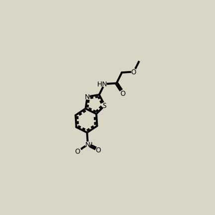 COCC(=O)Nc1nc2ccc([N+](=O)[O-])cc2s1